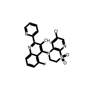 Cc1c(-c2ccccn2)nc2cccc(F)c2c1N1CCS(=O)(=O)c2ncc(Cl)cc21